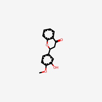 COc1ccc(C2CC(=O)c3ccccc3O2)cc1O